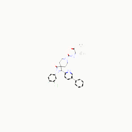 CCC(C)[C@H](NC(=O)N1CCC2(CC1)C(=O)N(c1ccc(F)c(Cl)c1)C2c1ccc(-c2ccccc2)cn1)C(=O)OC